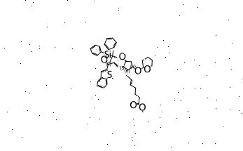 COC(=O)CCCC=CC[C@@H]1[C@H](C=C[C@@H](O[Si](c2ccccc2)(c2ccccc2)C(C)(C)C)c2cc3ccccc3s2)C(=O)C[C@H]1OC1CCCCO1